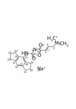 CN(C)C/C=C/S(=O)(=O)[N-]C(=O)Nc1c2c(cc3c1CCC3)CCC2.[Na+]